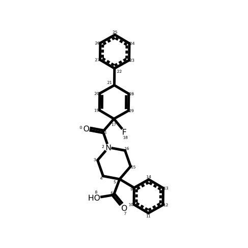 O=C(N1CCC(C(=O)O)(c2ccccc2)CC1)C1(F)C=CC(c2ccccc2)C=C1